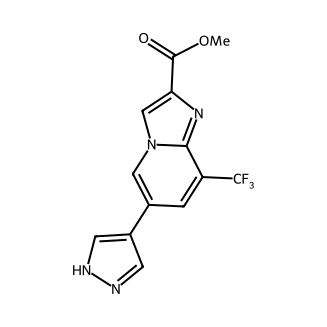 COC(=O)c1cn2cc(-c3cn[nH]c3)cc(C(F)(F)F)c2n1